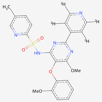 [2H]c1nc([2H])c([2H])c(-c2nc(NS(=O)(=O)c3ccc(C)cn3)c(Oc3ccccc3OC)c(OC)n2)c1[2H]